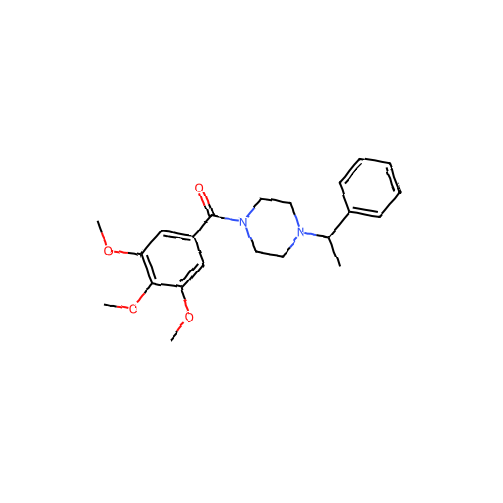 COc1cc(C(=O)N2CCN(C(C)c3ccccc3)CC2)cc(OC)c1OC